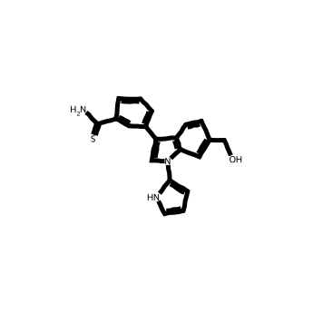 NC(=S)c1cccc(-c2cn(-c3ccc[nH]3)c3cc(CO)ccc23)c1